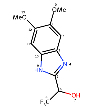 COc1cc2nc(C(O)C(F)(F)F)[nH]c2cc1OC